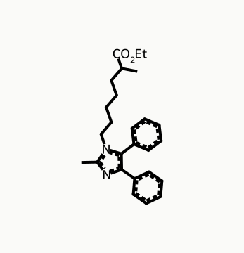 CCOC(=O)C(C)CCCCCn1c(C)nc(-c2ccccc2)c1-c1ccccc1